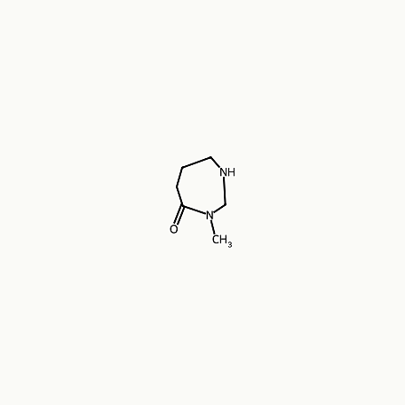 CN1CNCCCC1=O